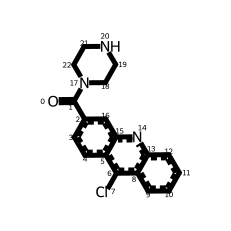 O=C(c1ccc2c(Cl)c3ccccc3nc2c1)N1CCNCC1